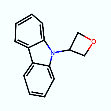 c1ccc2c(c1)c1ccccc1n2C1COC1